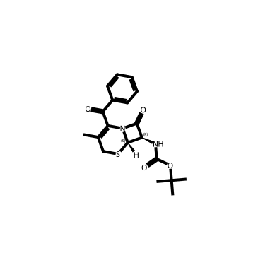 CC1=C(C(=O)c2ccccc2)N2C(=O)[C@@H](NC(=O)OC(C)(C)C)[C@@H]2SC1